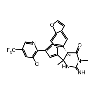 CN1C(=N)NC(C)(c2cc(-c3ncc(C(F)(F)F)cc3Cl)cs2)[C@H](c2ccc3occc3c2)C1=O